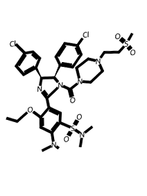 CCOc1cc(N(C)C)c(S(=O)(=O)N(C)C)cc1C1=N[C@@H](c2ccc(Cl)cc2)[C@@H](c2ccc(Cl)cc2)N1C(=O)N1CCN(CCS(C)(=O)=O)CC1